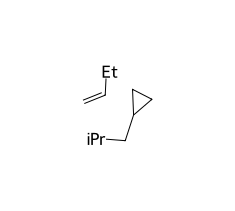 C=CCC.CC(C)CC1CC1